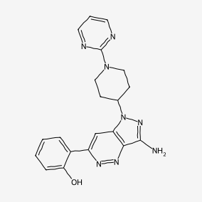 Nc1nn(C2CCN(c3ncccn3)CC2)c2cc(-c3ccccc3O)nnc12